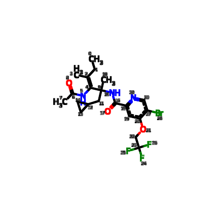 CC/C(C)=C(/NC(C)=O)C(C)(CC1CC1)NC(=O)c1cc(OCC(F)(F)F)c(Br)cn1